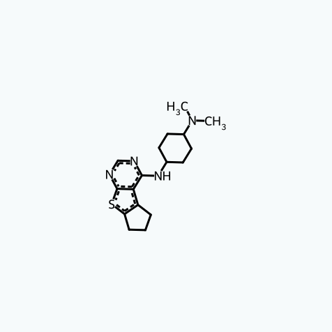 CN(C)C1CCC(Nc2ncnc3sc4c(c23)CCC4)CC1